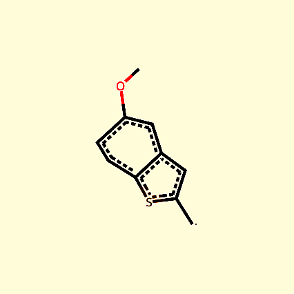 [CH2]c1cc2cc(OC)ccc2s1